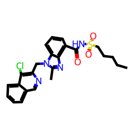 CCCCCS(=O)(=O)NC(=O)c1cccc2c1nc(C)n2Cc1ncc2ccccc2c1Cl